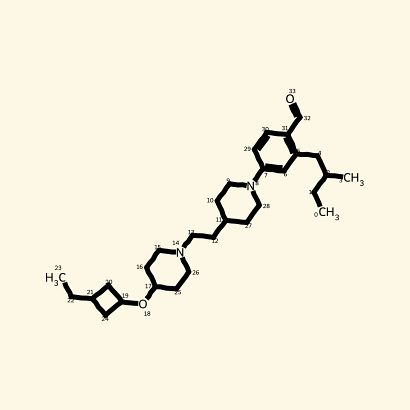 CCC(C)Cc1cc(N2CCC(CCN3CCC(OC4CC(CC)C4)CC3)CC2)ccc1C=O